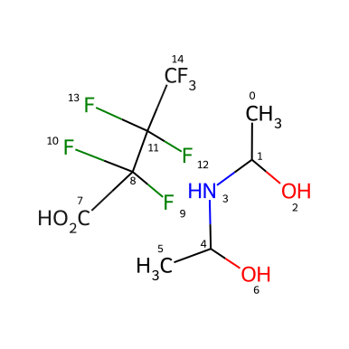 CC(O)NC(C)O.O=C(O)C(F)(F)C(F)(F)C(F)(F)F